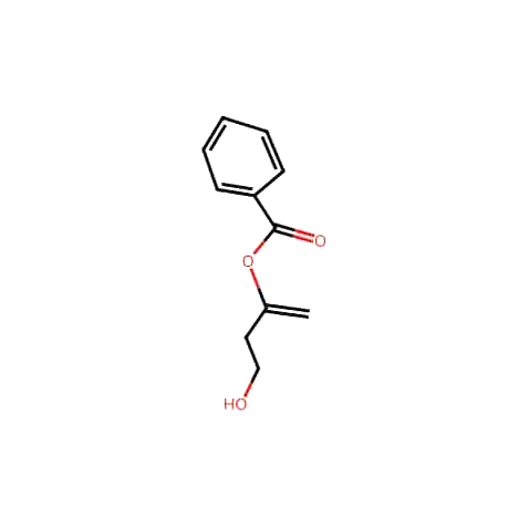 C=C(CCO)OC(=O)c1ccccc1